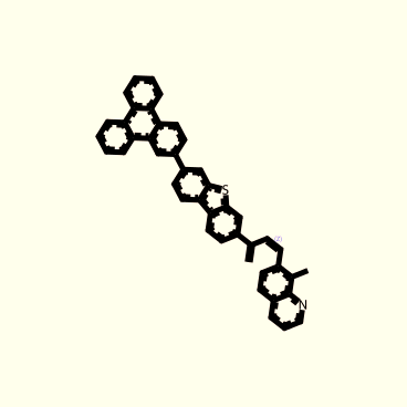 C=C(/C=C\c1ccc2cccnc2c1C)c1ccc2c(c1)sc1cc(-c3ccc4c5ccccc5c5ccccc5c4c3)ccc12